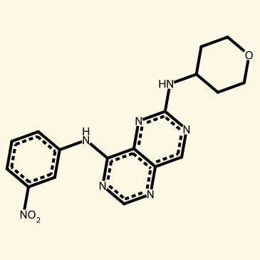 O=[N+]([O-])c1cccc(Nc2ncnc3cnc(NC4CCOCC4)nc23)c1